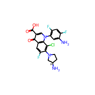 Nc1cc(-n2cc(C(=O)O)c(=O)c3cc(F)c(N4CC[C@@H](N)C4)c(Cl)c32)c(F)cc1F